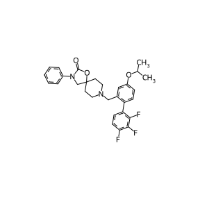 CC(C)Oc1ccc(-c2ccc(F)c(F)c2F)c(CN2CCC3(CC2)CN(c2ccccc2)C(=O)O3)c1